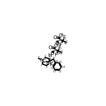 C[N+]12CC[N+](F)(CC1)[C@H](Cc1ccccc1)C2.O=S(=O)([O-])C(F)(F)F.O=S(=O)([O-])C(F)(F)F